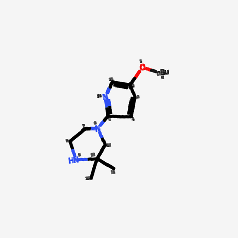 CCCCOc1ccc(N2CCNC(C)(C)C2)nc1